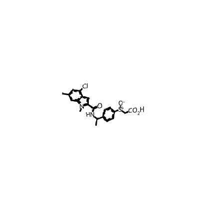 Cc1cc(Cl)c2cc(C(=O)NC(C)c3ccc([S@@+]([O-])CC(=O)O)cc3)n(C)c2c1